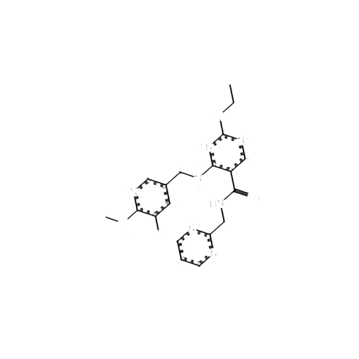 CCSc1ncc(C(=O)NCc2ncccn2)c(NCc2cnc(OC)c(Cl)c2)n1